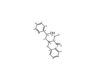 CCC(N)N(Cc1ccccc1)CC(O)c1ccccc1